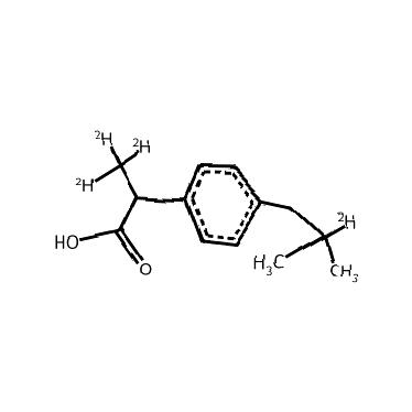 [2H]C(C)(C)Cc1ccc(C(C(=O)O)C([2H])([2H])[2H])cc1